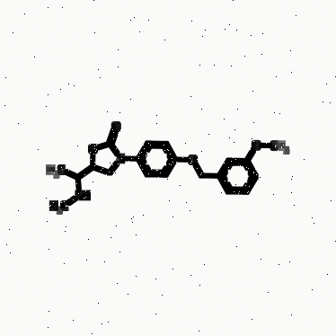 CNC(C)C1CN(c2ccc(OCc3cccc(OC)c3)cc2)C(=O)O1